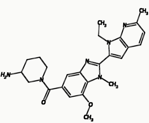 CCn1c(-c2nc3cc(C(=O)N4CCCC(N)C4)cc(OC)c3n2C)cc2ccc(C)nc21